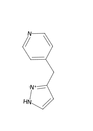 C1=CC(Cc2ccncc2)=[N+]N1